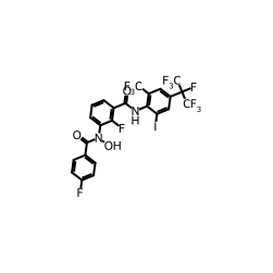 O=C(Nc1c(I)cc(C(F)(C(F)(F)F)C(F)(F)F)cc1C(F)(F)F)c1cccc(N(O)C(=O)c2ccc(F)cc2)c1F